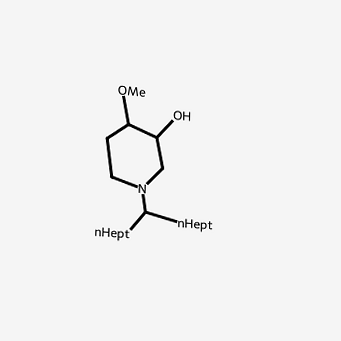 CCCCCCCC(CCCCCCC)N1CCC(OC)C(O)C1